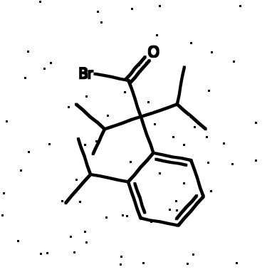 CC(C)c1ccccc1C(C(=O)Br)(C(C)C)C(C)C